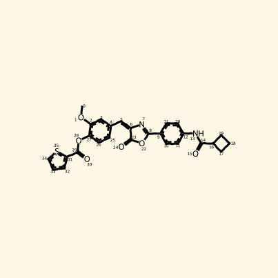 COc1cc(/C=C2/N=C(c3ccc(NC(=O)C4CCC4)cc3)OC2=O)ccc1OC(=O)c1cccs1